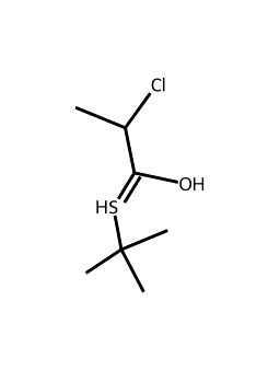 CC(Cl)C(O)=[SH]C(C)(C)C